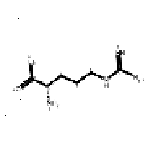 N=C(N)NCCC[C@H](N)[C](=O)[La]